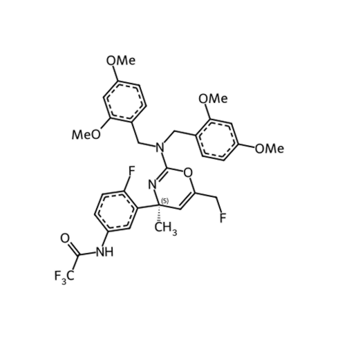 COc1ccc(CN(Cc2ccc(OC)cc2OC)C2=N[C@](C)(c3cc(NC(=O)C(F)(F)F)ccc3F)C=C(CF)O2)c(OC)c1